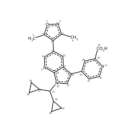 Cc1noc(C)c1-c1cnc2c(c1)c(-c1ccnc(C(=O)O)c1)cn2C(C1CC1)C1CC1